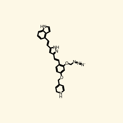 [N-]=[N+]=NCOc1cc(OCC2=CCNC=C2)ccc1/C=C/c1cc(/C=C/c2cccc3[nH]ccc23)[nH]n1